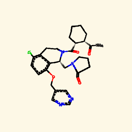 CNC(=O)[C@H]1CCCC[C@H]1C(=O)N1CCc2c(Cl)ccc(OCc3cncnc3)c2[C@H]1CN1CCCC1=O